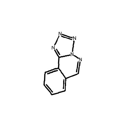 c1ccc2c(c1)cnn1nnnc21